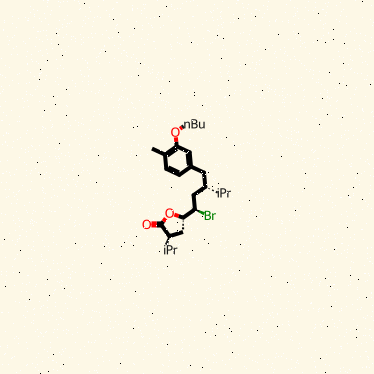 CCCCOc1cc(C[C@@H](C[C@@H](Br)[C@@H]2C[C@@H](C(C)C)C(=O)O2)C(C)C)ccc1C